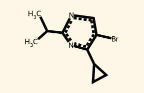 CC(C)c1ncc(Br)c(C2CC2)n1